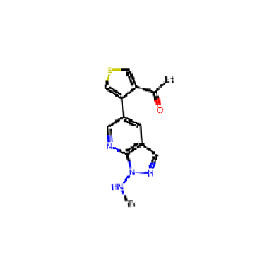 CCC(=O)c1cscc1-c1cnc2c(cnn2NC(C)C)c1